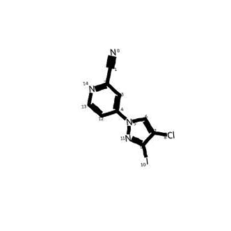 N#Cc1cc(-n2cc(Cl)c(I)n2)ccn1